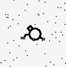 CCC1CCCC2CCC2C(CO)COC1